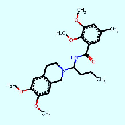 CCCC(NC(=O)c1cc(C)cc(OC)c1OC)N1CCc2cc(OC)c(OC)cc2C1